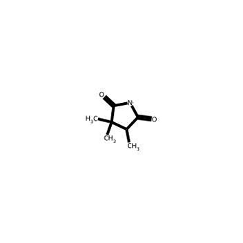 CC1C(=O)[N]C(=O)C1(C)C